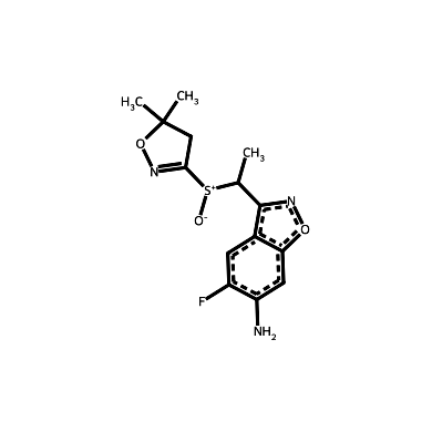 CC(c1noc2cc(N)c(F)cc12)[S+]([O-])C1=NOC(C)(C)C1